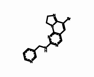 BrC1=Cc2cnc(NCc3cccnc3)nc2N2CCN=C12